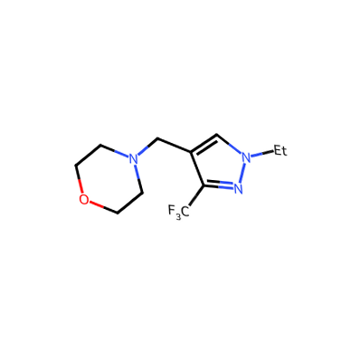 CCn1cc(CN2CCOCC2)c(C(F)(F)F)n1